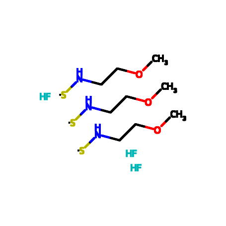 COCCN[S].COCCN[S].COCCN[S].F.F.F